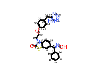 O=c1sc2cc(C(=NO)c3ccccc3)ccc2n1CCOc1ccc(Cc2nnn[nH]2)cc1